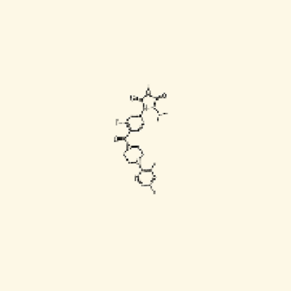 Cc1cnc(N2CCN(C(=O)c3ccc(N4C(=O)N(C)C(=O)C4C(C)C)cc3F)CC2)c(C)c1